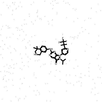 CC(C)n1c(=O)c2cnc(Nc3ccc4c(c3)CNCC4(C)C)nc2n1-c1ccnc(C(C)(C)C(F)(F)F)c1